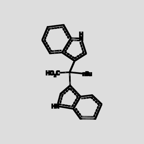 [CH2]CCCC(C(=O)O)(c1c[nH]c2ccccc12)c1c[nH]c2ccccc12